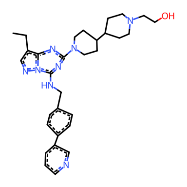 CCc1cnn2c(NCc3ccc(-c4cccnc4)cc3)nc(N3CCC(C4CCN(CCO)CC4)CC3)nc12